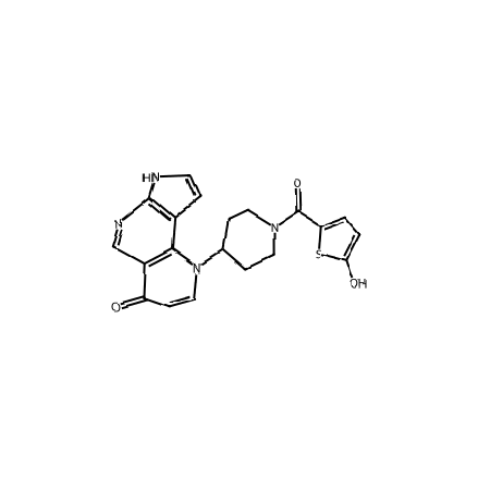 O=C(c1ccc(O)s1)N1CCC(n2ccc(=O)c3cnc4[nH]ccc4c32)CC1